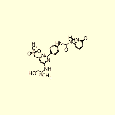 C[C@@H](CO)Nc1cc(CS(C)(=O)=O)nc(-c2ccc(NC(=O)Nc3cccc(=O)[nH]3)cc2)n1